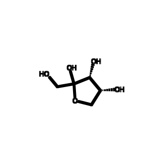 OCC1(O)OC[C@@H](O)[C@H]1O